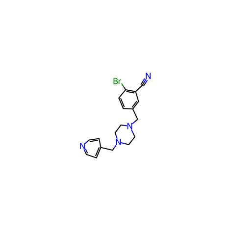 N#Cc1cc(CN2CCN(Cc3ccncc3)CC2)ccc1Br